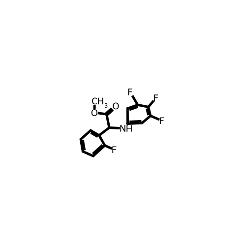 COC(=O)C(Nc1cc(F)c(F)c(F)c1)c1ccccc1F